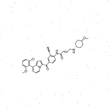 COc1cccc(Cl)c1-c1cccn2c(C(=O)c3ccc(NC(=O)/C=C/CN[C@H]4CC[C@H](OC)CC4)c(C#N)c3)ccc12